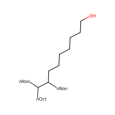 CCCCCCCCCC(CCCCCCCC)C(CCCCCCCO)CCCCCCCCC